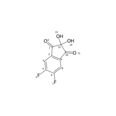 O=C1c2cc(F)c(F)cc2C(=O)C1(O)O